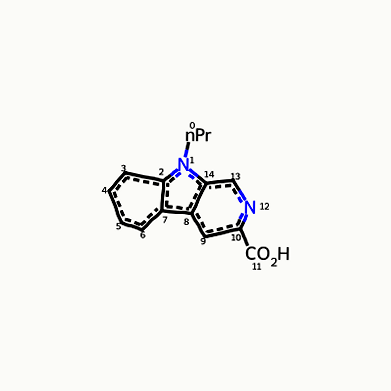 CCCn1c2ccccc2c2cc(C(=O)O)ncc21